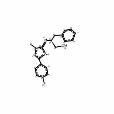 Cn1nc(-c2ccc(Cl)cc2)sc1=N[C@H](CO)Cc1ccccc1